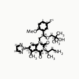 COc1ccc(F)cc1[C@H](Cn1c(=O)n([C@@H](C)CN)c(=O)c2c(C)c(-n3nccn3)sc21)OCC(C)(C)O